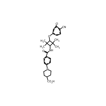 CC1(C)C(NC(=O)c2ccc(N3CCC(C(=O)O)CC3)cc2)C(C)(C)C1Oc1ccc(C#N)c(Cl)c1